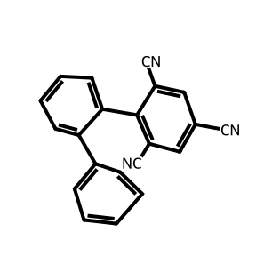 N#Cc1cc(C#N)c(-c2ccccc2-c2ccccc2)c(C#N)c1